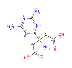 Nc1nc(N)nc(C(N)(CC(=O)O)CC(=O)O)n1